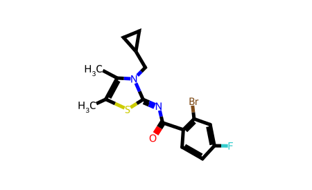 Cc1s/c(=N\C(=O)c2ccc(F)cc2Br)n(CC2CC2)c1C